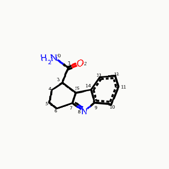 NC(=O)C1CCCC2=Nc3ccccc3C21